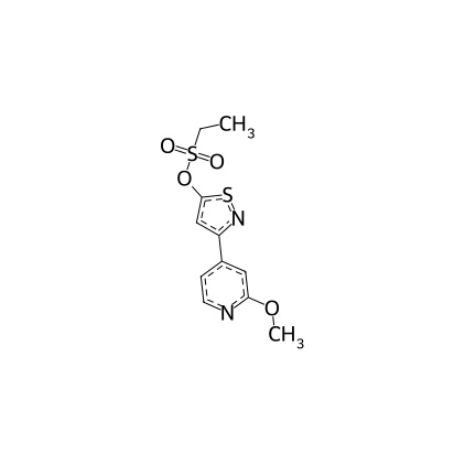 CCS(=O)(=O)Oc1cc(-c2ccnc(OC)c2)ns1